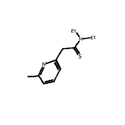 CCN(CC)C(=S)Cc1cccc(C)n1